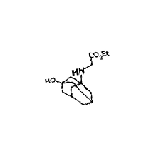 CCOC(=O)CNC12CC3CC(CC(O)(C3)C1)C2